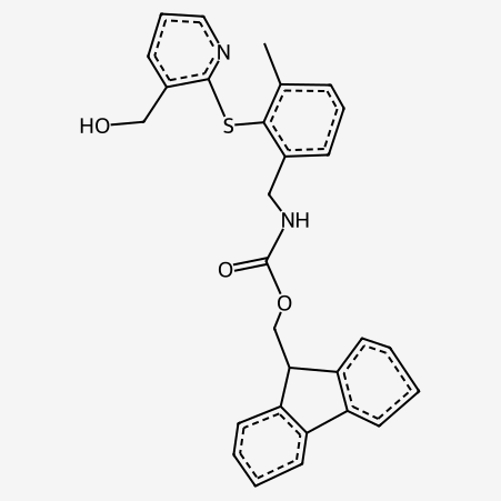 Cc1cccc(CNC(=O)OCC2c3ccccc3-c3ccccc32)c1Sc1ncccc1CO